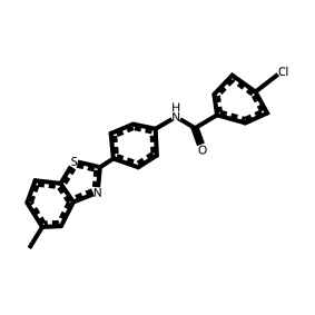 Cc1ccc2sc(-c3ccc(NC(=O)c4ccc(Cl)cc4)cc3)nc2c1